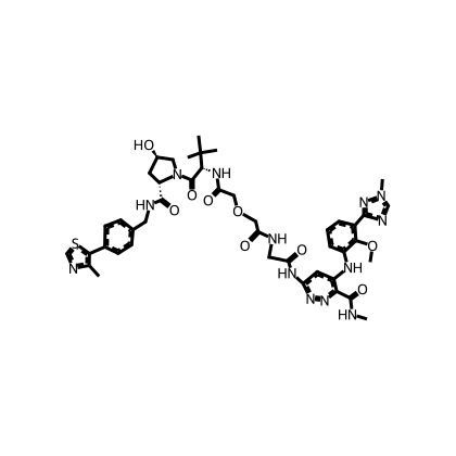 CNC(=O)c1nnc(NC(=O)CNC(=O)COCC(=O)N[C@H](C(=O)N2C[C@H](O)C[C@H]2C(=O)NCc2ccc(-c3scnc3C)cc2)C(C)(C)C)cc1Nc1cccc(-c2ncn(C)n2)c1OC